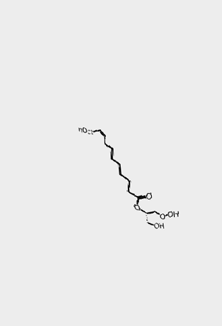 CCCCCCCC/C=C\CCCCCCCC(=O)O[C@@H](CO)COO